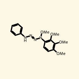 COc1ccc(N(N=NNc2ccccc2)OC)c(OC)c1OC